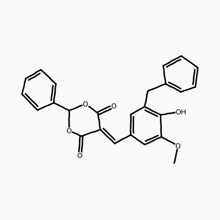 COc1cc(C=C2C(=O)OC(c3ccccc3)OC2=O)cc(Cc2ccccc2)c1O